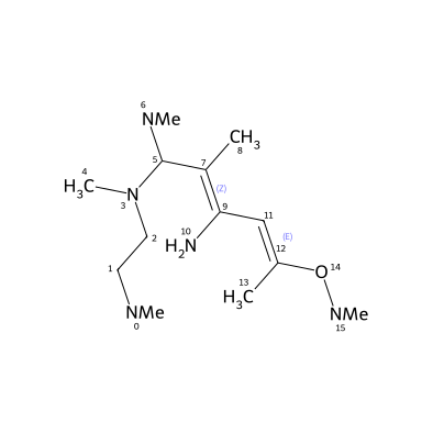 CNCCN(C)C(NC)/C(C)=C(N)/C=C(\C)ONC